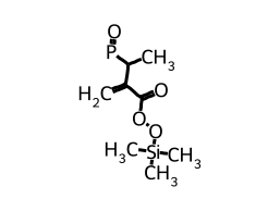 C=C(C(=O)OO[Si](C)(C)C)C(C)P=O